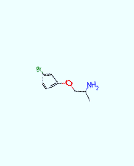 CC(N)COc1cccc(Br)c1